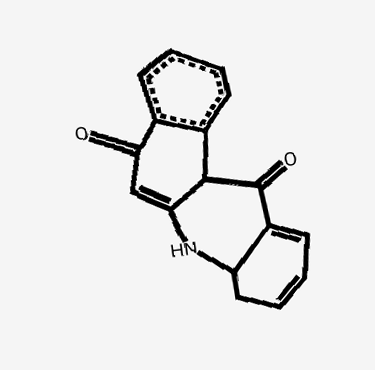 O=C1C=C2NC3CC=CC=C3C(=O)C2c2ccccc21